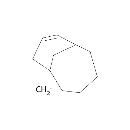 C1=CC2CCCCC(C1)C2.[CH2]